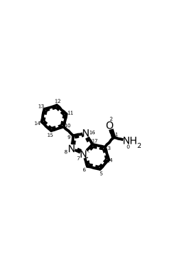 NC(=O)c1[c]ccn2nc(-c3ccccc3)nc12